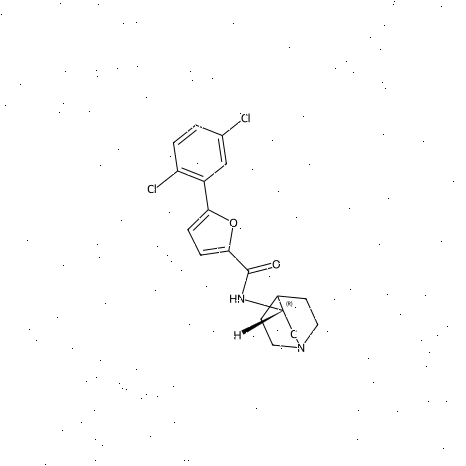 O=C(N[C@H]1CN2CCC1CC2)c1ccc(-c2cc(Cl)ccc2Cl)o1